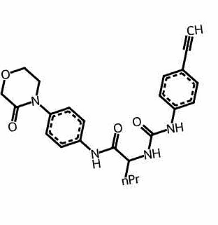 C#Cc1ccc(NC(=O)NC(CCC)C(=O)Nc2ccc(N3CCOCC3=O)cc2)cc1